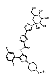 CCO[C@H]1CC[C@H](n2cc(NC(=O)c3csc(-c4cnn(C5(O)CC(CO)C(O)C(O)C5O)c4)n3)c(-c3nc(F)ccc3F)n2)CC1